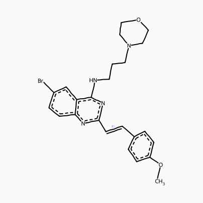 COc1ccc(/C=C/c2nc(NCCCN3CCOCC3)c3cc(Br)ccc3n2)cc1